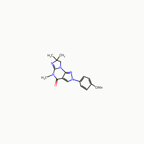 COc1ccc(-n2cc3c(n2)N2CC(C)(C)N=C2N(C)C3=O)cc1